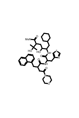 CNC(=O)C(CC(O)C(CC1CCCCC1)NC(=O)C(Cc1cscn1)NC(=O)C(CC(=O)N1CCOCC1)Cc1cccc2ccccc12)C(C)(C)O